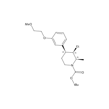 CC[C@H]1[C@@H](C)N(C(=O)OC(C)(C)C)CC[C@H]1c1cccc(OCCOC)c1